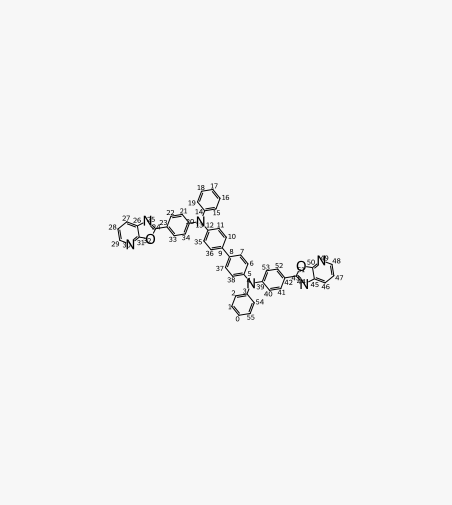 c1ccc(N(c2ccc(-c3ccc(N(c4ccccc4)c4ccc(-c5nc6cccnc6o5)cc4)cc3)cc2)c2ccc(-c3nc4cccnc4o3)cc2)cc1